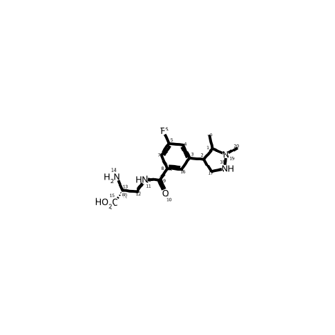 CC1C(c2cc(F)cc(C(=O)NC[C@@H](N)C(=O)O)c2)CNN1C